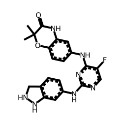 CC1(C)Oc2ccc(Nc3nc(Nc4ccc5c(c4)NNC5)ncc3F)cc2NC1=O